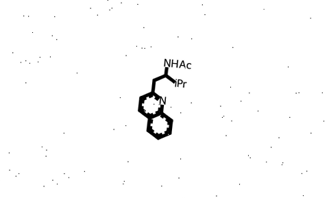 CC(=O)NC(Cc1ccc2ccccc2n1)C(C)C